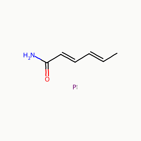 C/C=C/C=C/C(N)=O.[P]